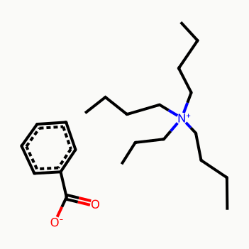 CCCC[N+](CCC)(CCCC)CCCC.O=C([O-])c1ccccc1